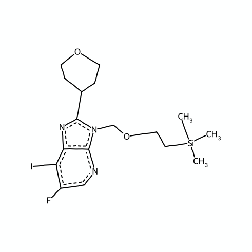 C[Si](C)(C)CCOCn1c(C2CCOCC2)nc2c(I)c(F)cnc21